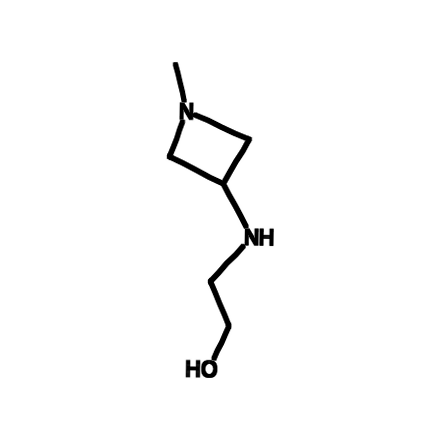 CN1CC(NCCO)C1